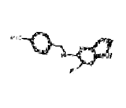 COc1ccc(CNc2nc3cc[nH]c3cc2C(F)(F)F)cc1